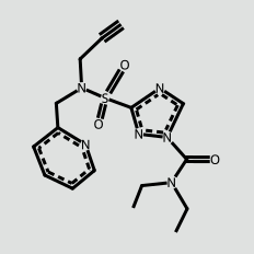 C#CCN(Cc1ccccn1)S(=O)(=O)c1ncn(C(=O)N(CC)CC)n1